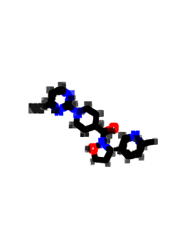 Cc1ccc([C@@H]2CCON2C(=O)C2CCN(c3nccc(C#N)n3)CC2)cn1